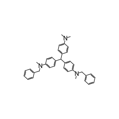 CN(C)c1ccc(C(c2ccc(N(C)Cc3ccccc3)cc2)c2ccc(N(C)Cc3ccccc3)cc2)cc1